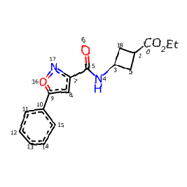 CCOC(=O)C1CC(NC(=O)c2cc(-c3ccccc3)on2)C1